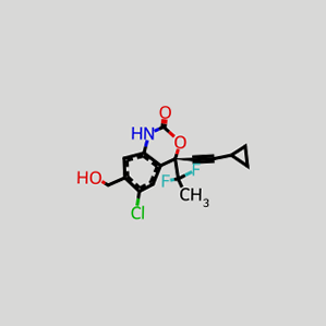 CC(F)(F)[C@@]1(C#CC2CC2)OC(=O)Nc2cc(CO)c(Cl)cc21